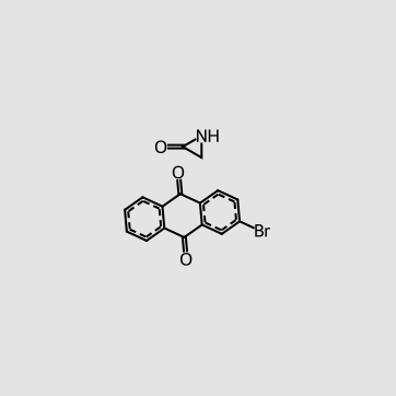 O=C1CN1.O=C1c2ccccc2C(=O)c2cc(Br)ccc21